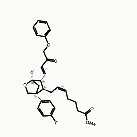 COC(=O)CCC/C=C\C[C@@H]1[C@@H](/C=C/C(=O)COc2ccccc2)[C@H]2C[C@]1(c1ccc(F)cc1)CO2